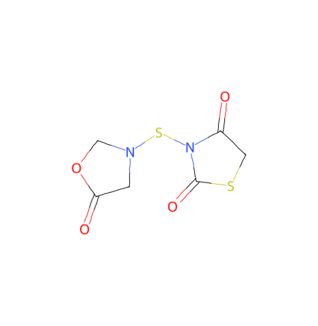 O=C1CN(SN2C(=O)CSC2=O)CO1